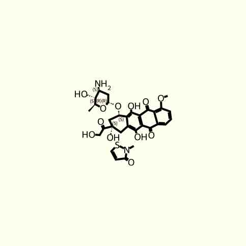 COc1cccc2c1C(=O)c1c(O)c3c(c(O)c1C2=O)C[C@@](O)(C(=O)CO)C[C@@H]3O[C@H]1C[C@H](N)[C@@H](O)[C@H](C)O1.Cn1sccc1=O